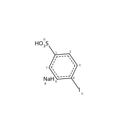 O=S(=O)(O)c1ccc(I)cc1.[NaH]